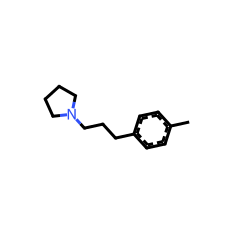 Cc1ccc(CCCN2CCCC2)cc1